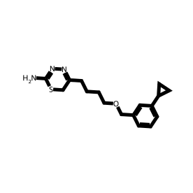 NC1=NN=C(CCCCOCc2cccc(C3CC3)c2)CS1